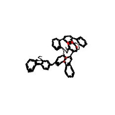 c1cc(-c2ccc3c(c2)sc2ccccc23)cc(N(c2ccccc2-c2ccc3ccccc3c2)c2ccccc2-c2ccc3c(c2)oc2ccccc23)c1